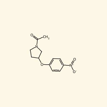 CC(=O)N1CCC(Oc2ccc([N+](=O)[O-])cc2)C1